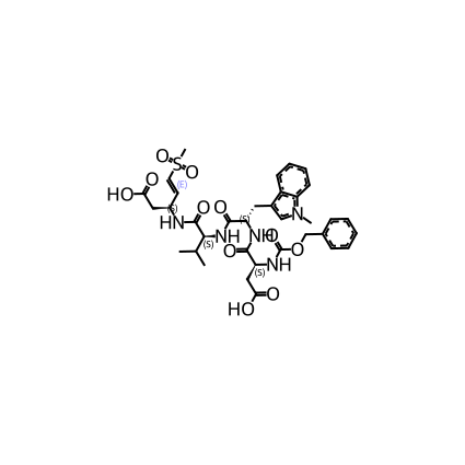 CC(C)[C@H](NC(=O)[C@H](Cc1cn(C)c2ccccc12)NC(=O)[C@H](CC(=O)O)NC(=O)OCc1ccccc1)C(=O)N[C@H](/C=C/S(C)(=O)=O)CC(=O)O